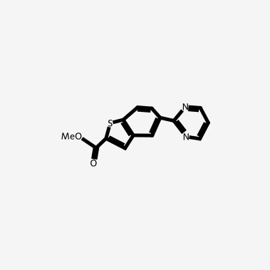 COC(=O)c1cc2cc(-c3ncccn3)ccc2s1